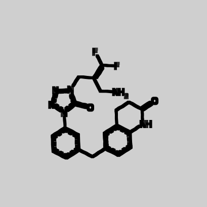 NCC(Cn1nnn(-c2cccc(Cc3ccc4c(c3)CCC(=O)N4)c2)c1=O)=C(F)F